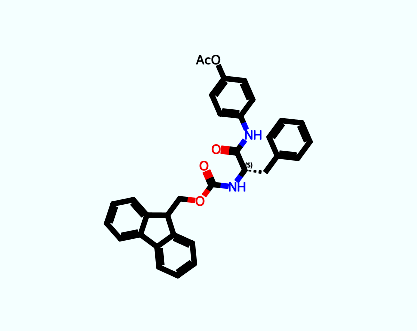 CC(=O)Oc1ccc(NC(=O)[C@H](Cc2ccccc2)NC(=O)OCC2c3ccccc3-c3ccccc32)cc1